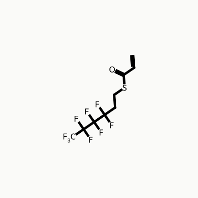 C=CC(=O)SCCC(F)(F)C(F)(F)C(F)(F)C(F)(F)F